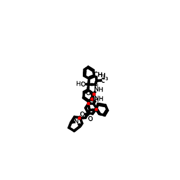 CC(C)[C@H](NC(=O)NC1CCC(CCN2C3CCC2CC(OC(=O)C(CO)c2ccccc2)C3)CC1)C(O)(c1ccccc1)c1ccccc1